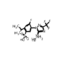 CC(C)c1cc(F)c(-n2nc(C(F)(F)F)nc2N)cc1S(=O)(=O)O.F